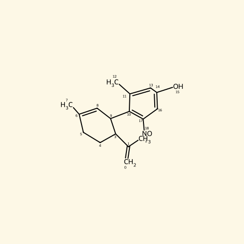 C=C(C)C1CCC(C)=CC1c1c(C)cc(O)cc1N=O